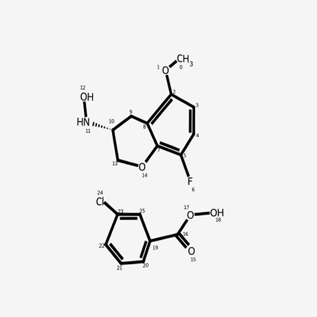 COc1ccc(F)c2c1C[C@@H](NO)CO2.O=C(OO)c1cccc(Cl)c1